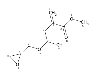 C=C(CC(C)OCC1CO1)C(=O)OC